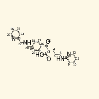 O=C(O)[C@@H](CCCNc1ccccn1)C(=O)c1ccc(CNCc2ccccn2)cc1